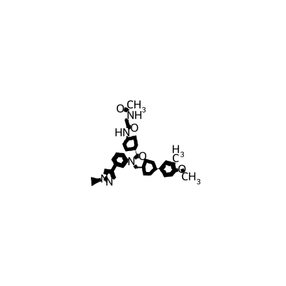 COc1ccc([C@H]2CC[C@H](CN(c3cccc(-c4cnn(C5CC5)c4)c3)C(=O)[C@H]3CC[C@H](NC(=O)CNC(C)=O)CC3)CC2)cc1C